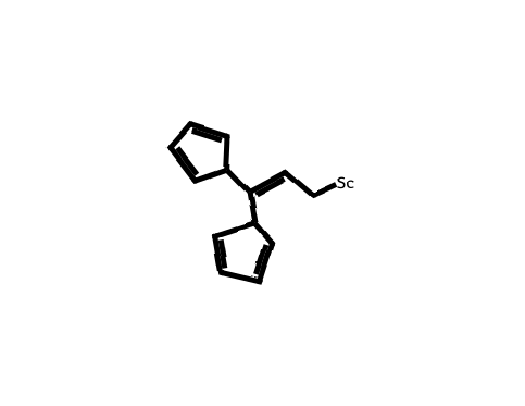 [Sc][CH2]C=C(C1C=CC=C1)C1C=CC=C1